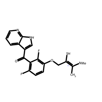 CN/C(C)=C(\S)COc1ccc(F)c(C(=O)c2c[nH]c3ncccc23)c1F